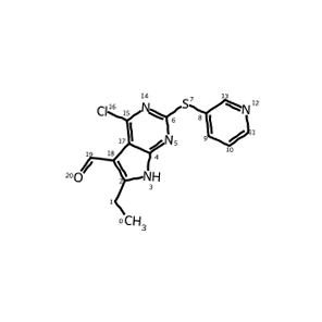 CCc1[nH]c2nc(Sc3cccnc3)nc(Cl)c2c1C=O